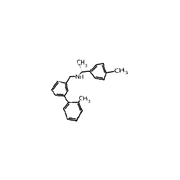 Cc1ccc([C@@H](C)NCc2cccc(-c3ccccc3C)c2)cc1